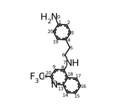 Nc1ccc(CCNc2cc(C(F)(F)F)nc3ccccc23)cc1